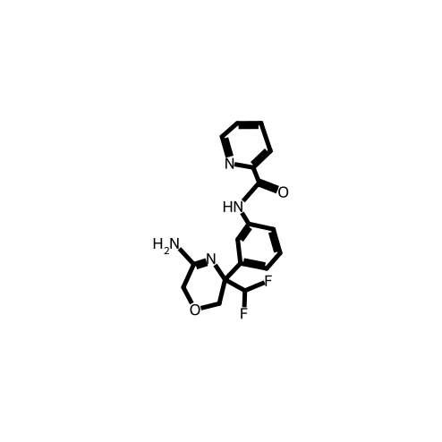 NC1=NC(c2cccc(NC(=O)c3ccccn3)c2)(C(F)F)COC1